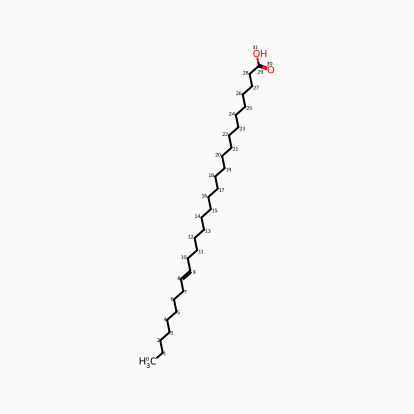 CCCCCCCC/C=C/CCCCCCCCCCCCCCCCCCCC(=O)O